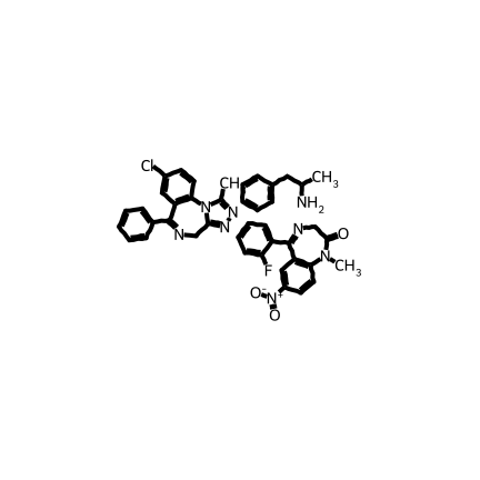 CC(N)Cc1ccccc1.CN1C(=O)CN=C(c2ccccc2F)c2cc([N+](=O)[O-])ccc21.Cc1nnc2n1-c1ccc(Cl)cc1C(c1ccccc1)=NC2